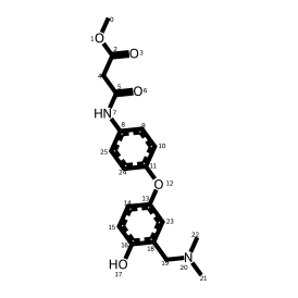 COC(=O)CC(=O)Nc1ccc(Oc2ccc(O)c(CN(C)C)c2)cc1